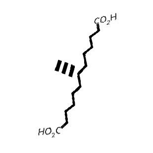 C=C.C=C.C=C.O=C(O)CCCCCCCCCCCC(=O)O